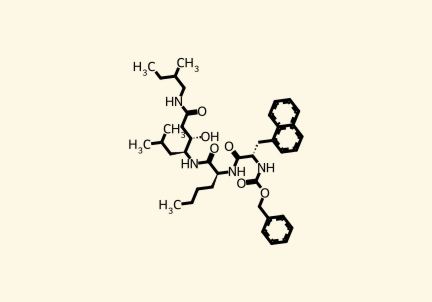 CCCC[C@H](NC(=O)[C@H](Cc1cccc2ccccc12)NC(=O)OCc1ccccc1)C(=O)N[C@@H](CC(C)C)[C@@H](O)CC(=O)NCC(C)CC